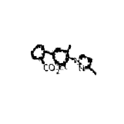 CCOC(=O)c1ccccc1-c1ccc(-n2ccc(C)n2)c(C)c1